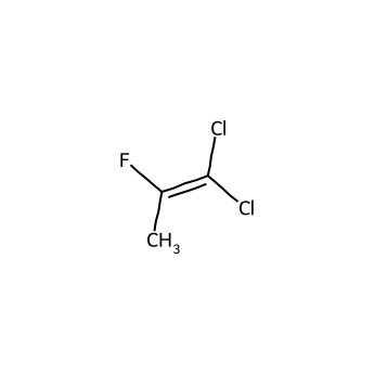 CC(F)=C(Cl)Cl